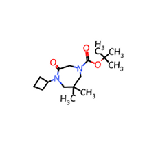 CC1(C)CN(C(=O)OC(C)(C)C)CC(=O)N(C2CCC2)C1